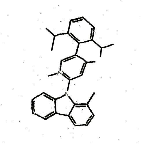 Cc1cc(-n2c3ccccc3c3cccc(C)c32)[n+](C)cc1-c1c(C(C)C)cccc1C(C)C